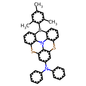 Cc1cc(C)c(B2c3cccc4c3N3c5c(cc(N(c6ccccc6)c6ccccc6)cc5Sc5cccc2c53)S4)c(C)c1